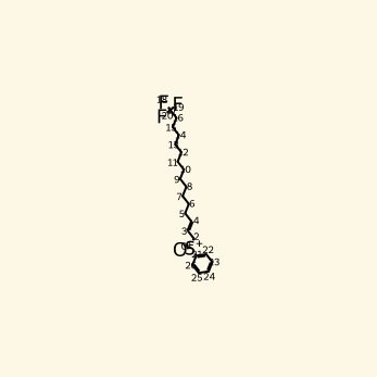 [O-][S+](C/C=C/CCCCCCCCCCCCC(F)(F)F)c1ccccc1